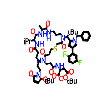 CC(NC(=O)C(NC(=O)CCCCCN1C(=O)C=CC1=O)C(C)C)C(=O)NCCCN(C(=O)CSCCC(=O)NCCC(=O)NC(CC(=O)OC(C)(C)C)C(=O)OC(C)(C)C)C(c1cc(-c2cc(F)ccc2F)cn1Cc1ccccc1)C(C)(C)C